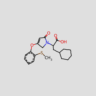 CSc1ccccc1OC1=CC(=O)N(C(CC2CCCCC2)C(=O)O)C1